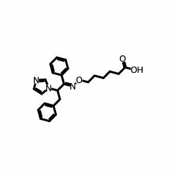 O=C(O)CCCCCO/N=C(\c1ccccc1)C(Cc1ccccc1)n1ccnc1